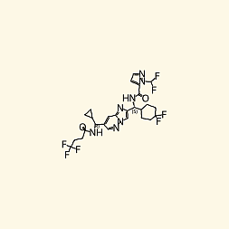 O=C(CCC(F)(F)F)N[C@@H](c1cnn2cc([C@@H](NC(=O)c3ccnn3C(F)F)C3CCC(F)(F)CC3)nc2c1)C1CC1